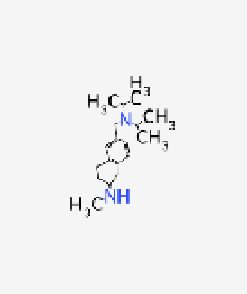 CNC1CCc2cc(CN(C(C)C)C(C)C)ccc2C1